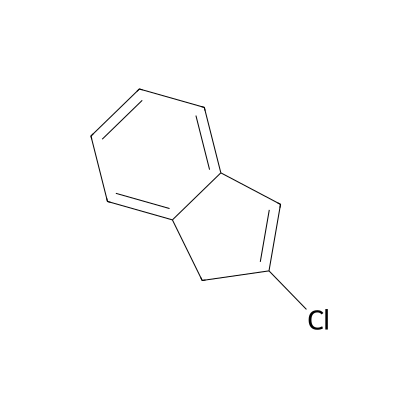 ClC1=Cc2ccccc2C1